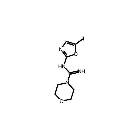 N=C(Nc1ncc(I)o1)N1CCOCC1